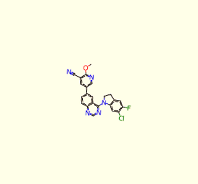 COc1ncc(-c2ccc3ncnc(N4CCc5cc(F)c(Cl)cc54)c3c2)cc1C#N